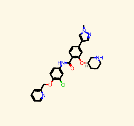 Cn1cc(-c2ccc(C(=O)Nc3ccc(OCc4ccccn4)c(Cl)c3)c(O[C@@H]3CCCNC3)c2)cn1